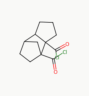 O=C(Cl)C12CCC(C1)C1CCCC12C(=O)Cl